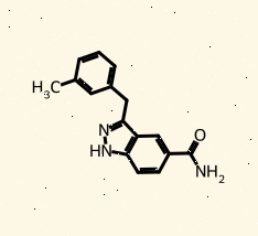 Cc1cccc(Cc2n[nH]c3ccc(C(N)=O)cc23)c1